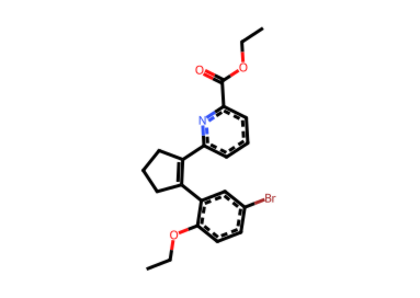 CCOC(=O)c1cccc(C2=C(c3cc(Br)ccc3OCC)CCC2)n1